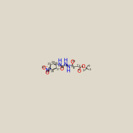 CC(C)(C)OC(=O)CCC(=O)NNC(=O)Nc1ccc([N+](=O)[O-])cc1